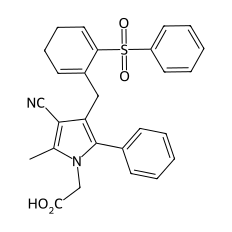 Cc1c(C#N)c(CC2=CCCC=C2S(=O)(=O)c2ccccc2)c(-c2ccccc2)n1CC(=O)O